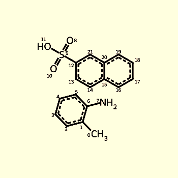 Cc1ccccc1N.O=S(=O)(O)c1ccc2ccccc2c1